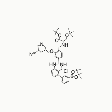 CC(C)(C)OCC(NCc1ccc(CNc2cccc(-c3cccc(B4OC(C)(C)C(C)(C)O4)c3Cl)c2C=N)cc1OCc1cncc(C#N)c1)C(=O)OC(C)(C)C